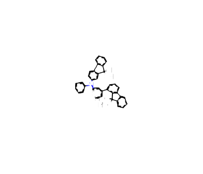 CC1(C)c2ccccc2-c2ccc(N(c3ccccc3)c3cccc(-c4cccc5c4C(C)(C)c4ccccc4-5)c3)cc21